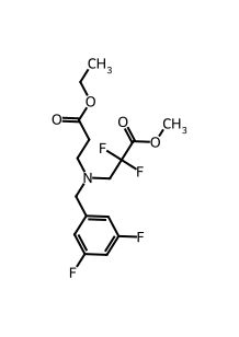 CCOC(=O)CCN(Cc1cc(F)cc(F)c1)CC(F)(F)C(=O)OC